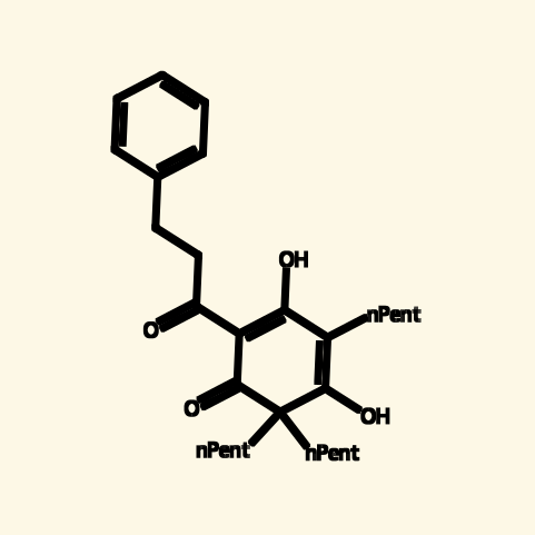 CCCCCC1=C(O)C(CCCCC)(CCCCC)C(=O)C(C(=O)CCc2ccccc2)=C1O